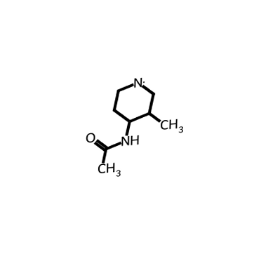 CC(=O)NC1CC[N]CC1C